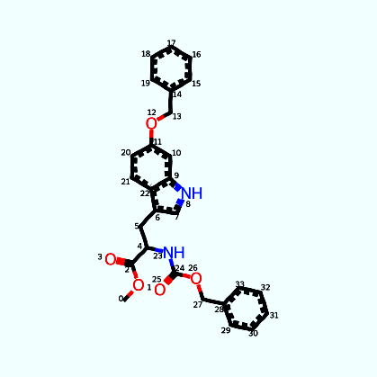 COC(=O)C(Cc1c[nH]c2cc(OCc3ccccc3)ccc12)NC(=O)OCc1ccccc1